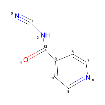 N#CNC(=O)c1ccncc1